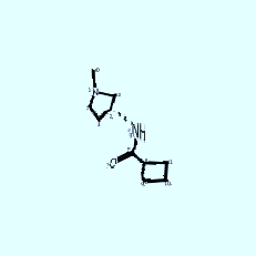 CN1CC[C@@H](NC(=O)C2CCC2)C1